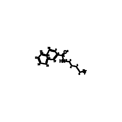 O=C(NCCCCBr)c1ccc2ncccc2c1